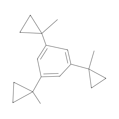 CC1(c2cc(C3(C)CC3)cc(C3(C)CC3)c2)CC1